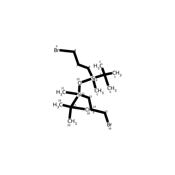 CC(C)(C)[Si](C)(CCCBr)O[Si](C)(CCCBr)C(C)(C)C